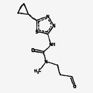 CN(CCC=O)C(=O)Nc1nnc(C2CC2)s1